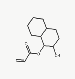 C=CC(=O)OC1C(O)CCC2CCCCC21